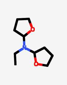 CCN(C1CCCO1)C1CCCO1